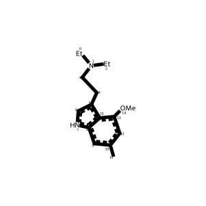 CCN(CC)CCc1c[nH]c2cc(C)cc(OC)c12